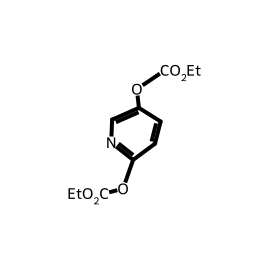 CCOC(=O)Oc1ccc(OC(=O)OCC)nc1